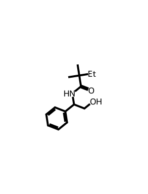 CCC(C)(C)C(=O)NC(CO)c1ccccc1